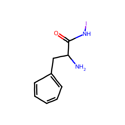 NC(Cc1ccccc1)C(=O)NI